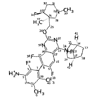 Cc1cc(N)c(F)c(-c2c(F)cc3c(N4C[C@H]5CC[C@@H](C4)N5)nc(OC[C@]4(C)CN(C)CC[C@@H]4F)nc3c2F)c1C(F)(F)F